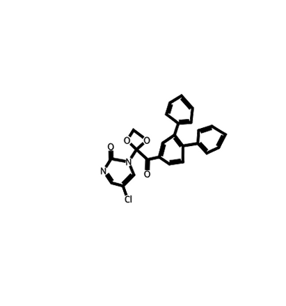 O=C(c1ccc(-c2ccccc2)c(-c2ccccc2)c1)C1(n2cc(Cl)cnc2=O)OCO1